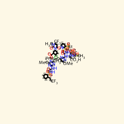 CC(C)OC(=O)c1cc(-n2c(=O)cc(C(F)(F)F)n(C)c2=O)ccc1Cl.CCS(=O)(=O)c1cccnc1S(=O)(=O)NC(=O)Nc1nc(OC)cc(OC)n1.COc1nc(C)nc(NC(=O)NS(=O)(=O)c2ccccc2CCC(F)(F)F)n1.C[S+](C)C.O=C(O)CNCP(=O)([O-])O